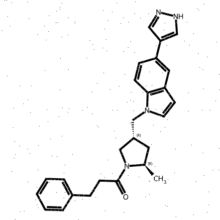 C[C@@H]1C[C@@H](Cn2ccc3cc(-c4cn[nH]c4)ccc32)CN1C(=O)CCc1ccccc1